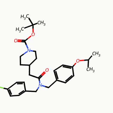 CC(C)Oc1ccc(CN(Cc2ccc(F)cc2)C(=O)CC2CCN(C(=O)OC(C)(C)C)CC2)cc1